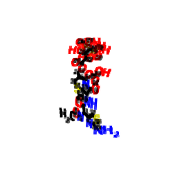 CO/N=C(\C(=O)N[C@@H]1C(=O)N2C(OC(=O)O)=C(COC(=O)CCC(O)(P(=O)(O)O)P(=O)(O)O)CS[C@@H]12)c1csc(N)n1